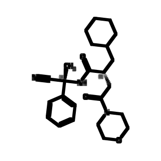 C[C@@](C#N)(NC(=O)[C@@H](CC(=O)N1CCOCC1)CC1CCCCC1)c1ccccc1